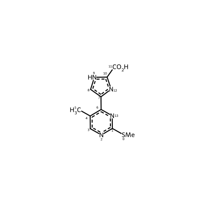 CSc1ncc(C)c(-c2c[nH]c(C(=O)O)n2)n1